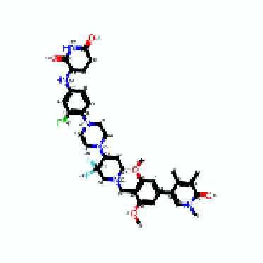 COc1cc(-c2cn(C)c(=O)c(C)c2C)cc(OC)c1CN1CCC(N2CCN(c3ccc(NC4CCC(=O)NC4=O)cc3Cl)CC2)C(F)(F)C1